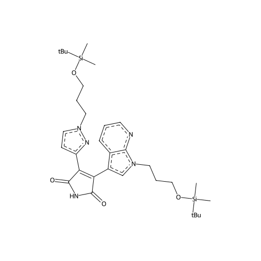 CC(C)(C)[Si](C)(C)OCCCn1ccc(C2=C(c3cn(CCCO[Si](C)(C)C(C)(C)C)c4ncccc34)C(=O)NC2=O)n1